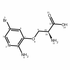 Nc1ncc(Br)cc1OC[C@H](N)C(=O)O